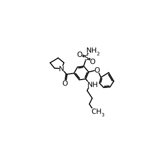 CCCCNc1cc(C(=O)N2CCCC2)cc(S(N)(=O)=O)c1Oc1ccccc1